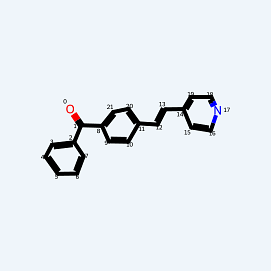 O=C(c1ccccc1)c1ccc(/C=C/c2ccncc2)cc1